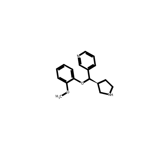 COc1ccccc1OC(c1cccnc1)[C@H]1CCNC1